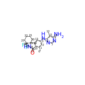 Cc1cc(Nc2ncnc(N)c2C)cc2c1C(=O)NC21CCCCC1(F)F